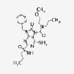 CCCN(CCOC)C(=O)n1c(=O)n(Cc2ccccc2)c2nc(S(=N)(=O)CCC)nc(N)c21